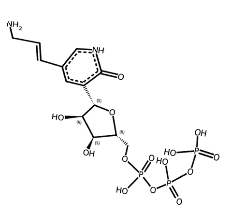 NCC=Cc1c[nH]c(=O)c([C@@H]2O[C@H](COP(=O)(O)OP(=O)(O)OP(=O)(O)O)[C@@H](O)[C@H]2O)c1